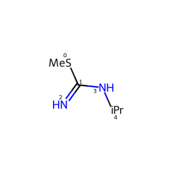 CSC(=N)NC(C)C